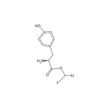 [2H]C(F)OC(=O)[C@@H](N)Cc1ccc(O)cc1